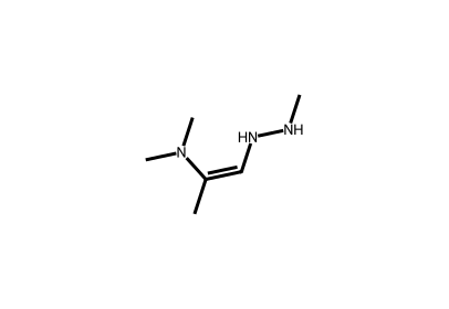 CNN/C=C(/C)N(C)C